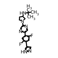 CC(C)(C)NC1CCN(c2cnc(-c3cc(F)c(-c4cn[nH]c4)cc3F)cn2)C1